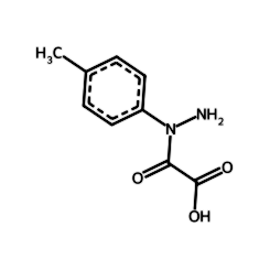 Cc1ccc(N(N)C(=O)C(=O)O)cc1